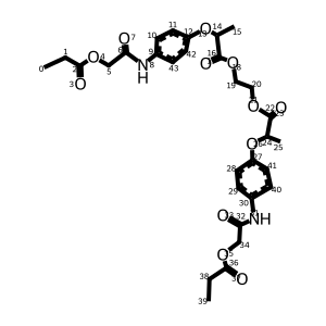 CCC(=O)OCC(=O)Nc1ccc(OC(C)C(=O)OCCOC(=O)C(C)Oc2ccc(NC(=O)COC(=O)CC)cc2)cc1